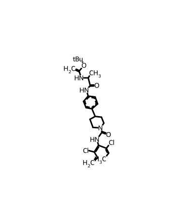 C=C/C(Cl)=C(NC(=O)N1CCC(c2ccc(NC(=O)C(C)NC(=C)OC(C)(C)C)cc2)CC1)\C(Cl)=C/C